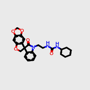 O=C(NCCN1C(=O)C2(COc3cc4c(cc32)OCO4)c2ccccc21)NC1CCCCC1